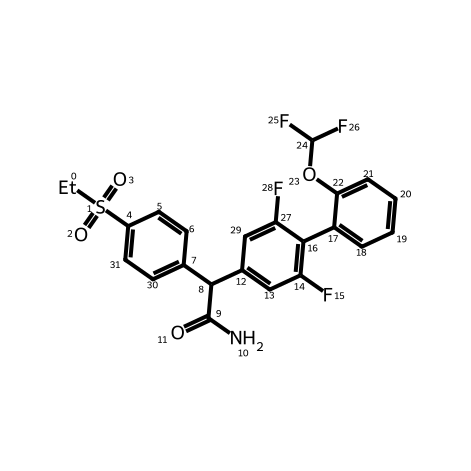 CCS(=O)(=O)c1ccc(C(C(N)=O)c2cc(F)c(-c3ccccc3OC(F)F)c(F)c2)cc1